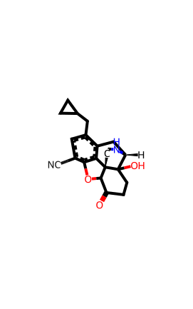 N#Cc1cc(CC2CC2)c2c3c1OC1C(=O)CCC4(O)[C@@H](C2)NCC[C@]314